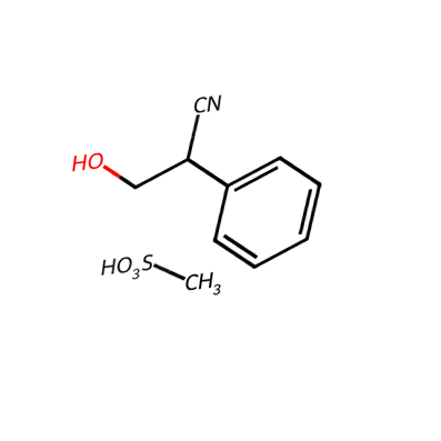 CS(=O)(=O)O.N#CC(CO)c1ccccc1